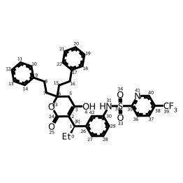 CC[C@@H](C1=C(O)CC(CCc2ccccc2)(CCc2ccccc2)OC1=O)c1cccc(NS(=O)(=O)c2ccc(C(F)(F)F)cn2)c1